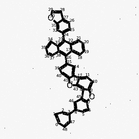 c1ccc(-c2ccc3oc4ccc5c6cc(-c7c8ccccc8c(-c8ccc9ccoc9c8)c8ccccc78)ccc6oc5c4c3c2)cc1